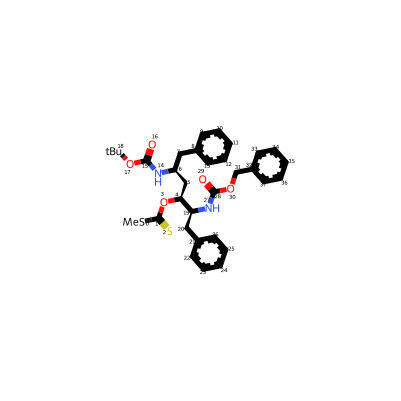 CSC(=S)O[C@@H](C[C@H](Cc1ccccc1)NC(=O)OC(C)(C)C)[C@H](Cc1ccccc1)NC(=O)OCc1ccccc1